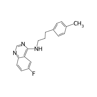 Cc1ccc(CCCNc2ncnc3ccc(F)cc23)cc1